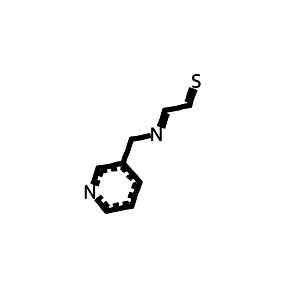 S=CC=NCc1cccnc1